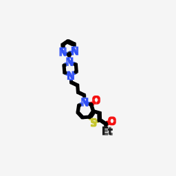 CCC(=O)c1cc2c(s1)CCCN(CCCCN1CCN(c3ncccn3)CC1)C2=O